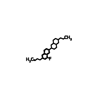 C=CCCc1cc(F)c2cc(C3CCC4CC(CCC)CCC4C3)ccc2c1